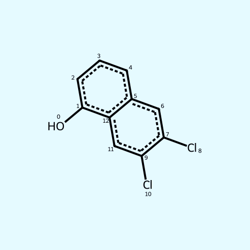 Oc1cccc2cc(Cl)c(Cl)cc12